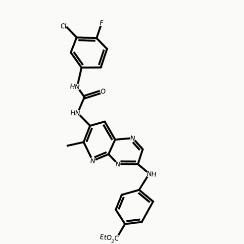 CCOC(=O)c1ccc(Nc2cnc3cc(NC(=O)Nc4ccc(F)c(Cl)c4)c(C)nc3n2)cc1